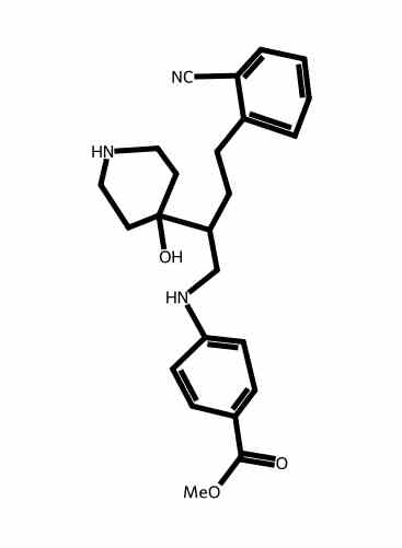 COC(=O)c1ccc(NCC(CCc2ccccc2C#N)C2(O)CCNCC2)cc1